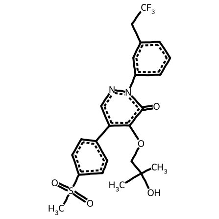 CC(C)(O)COc1c(-c2ccc(S(C)(=O)=O)cc2)cnn(-c2cccc(CC(F)(F)F)c2)c1=O